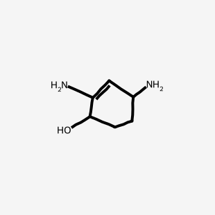 NC1=CC(N)CCC1O